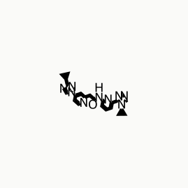 O=C(Cc1cc(-n2cnc(C3CC3)n2)ccn1)Nc1cccc(-c2nncn2C2CC2)n1